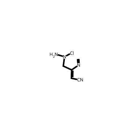 C=NC(=CC#N)CN(N)Cl